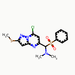 CSc1cc2nc(C(N(C)C)S(=O)(=O)c3ccccc3)cc(Cl)n2n1